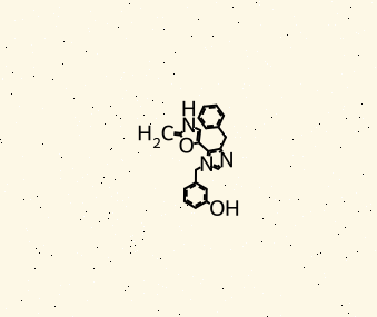 C=C1NC=C(c2c(Cc3ccccc3)ncn2Cc2cccc(O)c2)O1